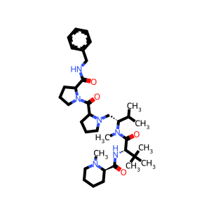 CC(C)[C@@H](CN1CCCC1C(=O)N1CCCC1C(=O)NCc1ccccc1)N(C)C(=O)[C@@H](NC(=O)[C@H]1CCCCN1C)C(C)(C)C